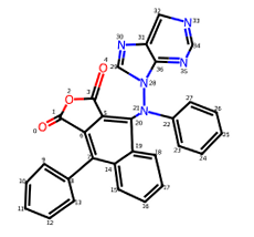 O=C1OC(=O)c2c1c(-c1ccccc1)c1ccccc1c2N(c1ccccc1)n1cnc2cncnc21